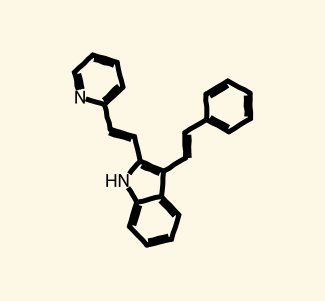 C(=C\c1c(/C=C/c2ccccn2)[nH]c2ccccc12)/c1ccccc1